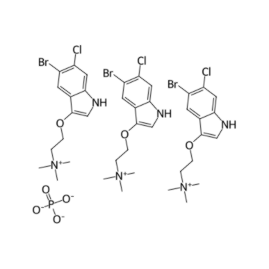 C[N+](C)(C)CCOc1c[nH]c2cc(Cl)c(Br)cc12.C[N+](C)(C)CCOc1c[nH]c2cc(Cl)c(Br)cc12.C[N+](C)(C)CCOc1c[nH]c2cc(Cl)c(Br)cc12.O=P([O-])([O-])[O-]